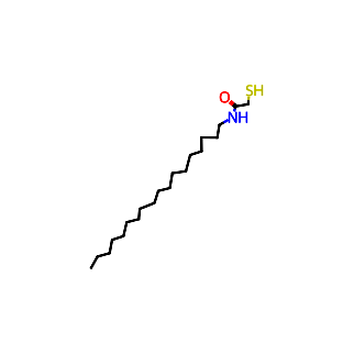 CCCCCCCCCCCCCCCCCCNC(=O)CS